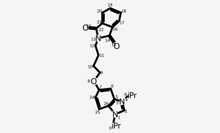 CC(C)n1c[n+](C(C)C)c2cc(OCCCCN3C(=O)c4ccccc4C3=O)ccc21